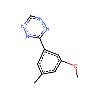 COc1cc(C)cc(-c2nncnn2)c1